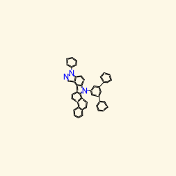 c1ccc(-c2cc(-c3ccccc3)cc(-n3c4ccc5c(cnn5-c5ccccc5)c4c4ccc5c6ccccc6ccc5c43)c2)cc1